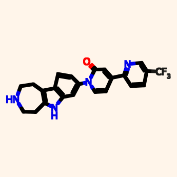 O=c1cc(-c2ccc(C(F)(F)F)cn2)ccn1-c1ccc2c3c([nH]c2c1)CCNCC3